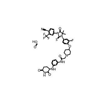 CC1(C)C(=O)N(c2ccc(C#N)c(C(F)(F)F)c2)C(=S)N1c1ccc(OC2CCN(CC(=O)Nc3cccc(NC4CCC(=O)NC4=O)c3)CC2)c(F)c1.O=CO